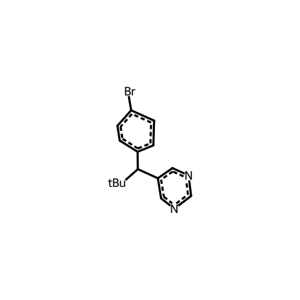 CC(C)(C)C(c1ccc(Br)cc1)c1cncnc1